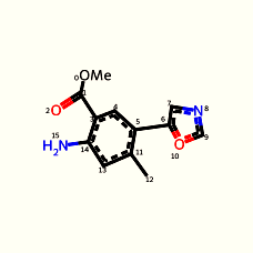 COC(=O)c1cc(-c2cnco2)c(C)cc1N